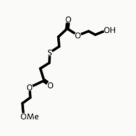 COCCOC(=O)CCSCCC(=O)OCCO